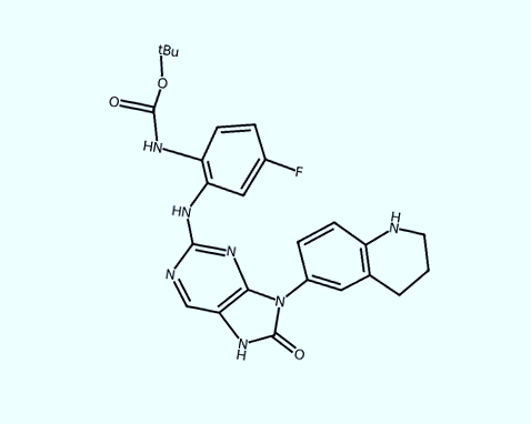 CC(C)(C)OC(=O)Nc1ccc(F)cc1Nc1ncc2[nH]c(=O)n(-c3ccc4c(c3)CCCN4)c2n1